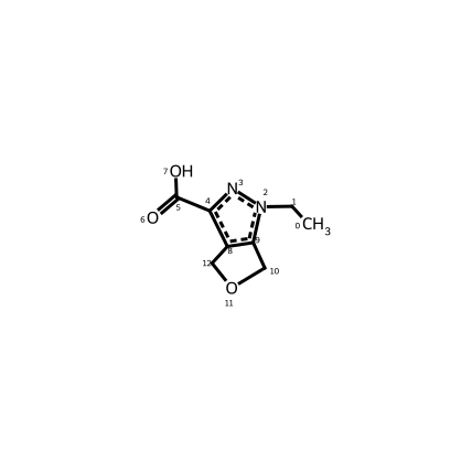 CCn1nc(C(=O)O)c2c1COC2